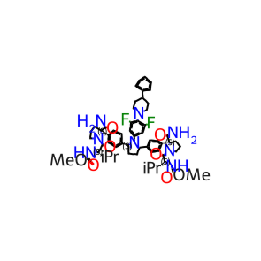 COC(=O)N[C@H](C(=O)N1CCC[C@@]1(C(N)=O)c1ccc(C2CC[C@@H](c3ccc([C@]4(C(N)=O)CCCN4C(=O)[C@@H](NC(=O)OC)C(C)C)cc3)N2c2cc(F)c(N3CCC(c4ccccc4)CC3)c(F)c2)cc1)C(C)C